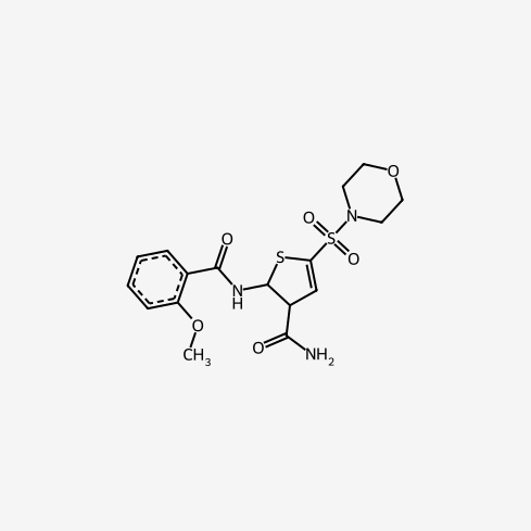 COc1ccccc1C(=O)NC1SC(S(=O)(=O)N2CCOCC2)=CC1C(N)=O